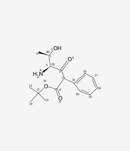 C[C@@H](O)[C@H](N)C(=O)[C](C(=O)OC(C)(C)C)c1ccccc1